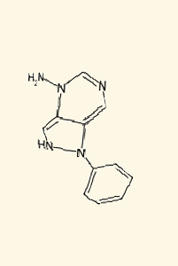 NN1C=NC=C2C1=CNN2c1ccccc1